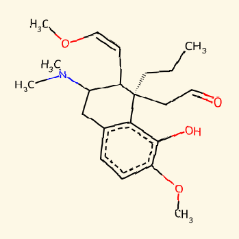 CCC[C@]1(CC=O)c2c(ccc(OC)c2O)CC(N(C)C)C1/C=C\OC